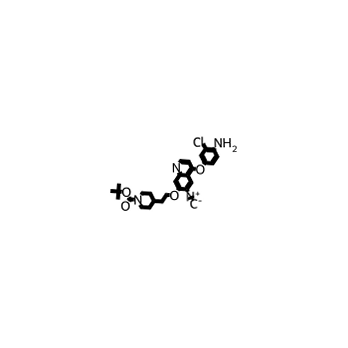 [C-]#[N+]c1cc2c(Oc3ccc(N)c(Cl)c3)ccnc2cc1OCCC1CCN(C(=O)OC(C)(C)C)CC1